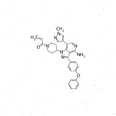 C=CC(=O)N1CCC(n2nc(-c3ccc(Oc4ccccc4)cc3)c3c(N)ncc(-c4cnn(C)c4)c32)CC1